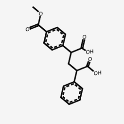 COC(=O)c1ccc(C(CC(C(=O)O)c2ccccc2)C(=O)O)cc1